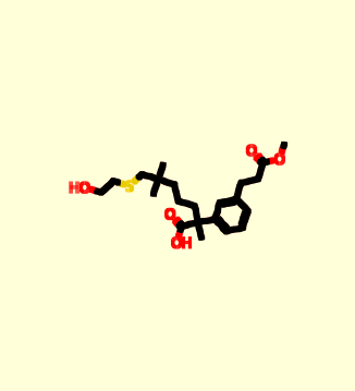 COC(=O)CCc1cccc(C(C)(CCCC(C)(C)CSCCO)C(=O)O)c1